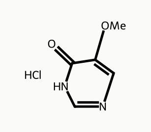 COc1cnc[nH]c1=O.Cl